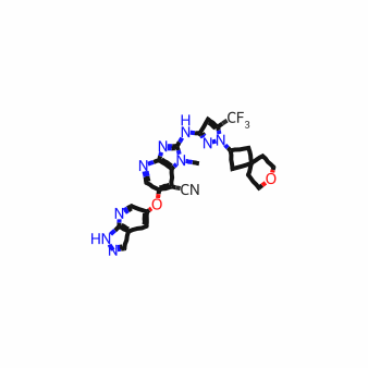 Cn1c(Nc2cc(C(F)(F)F)n(C3CC4(CCOCC4)C3)n2)nc2ncc(Oc3cnc4[nH]ncc4c3)c(C#N)c21